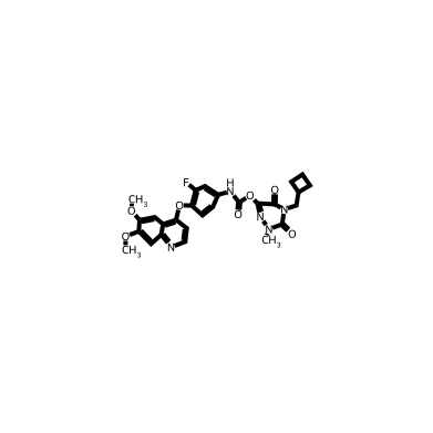 COc1cc2nccc(Oc3ccc(NC(=O)Oc4nn(C)c(=O)n(CC5CCC5)c4=O)cc3F)c2cc1OC